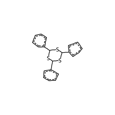 c1ccc(C2SC(c3ccccc3)SC(c3ccccc3)S2)cc1